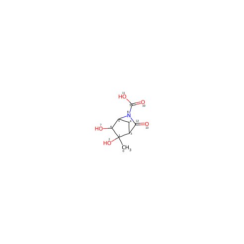 CC1(O)C2CC(C1O)N(C(=O)O)C2=O